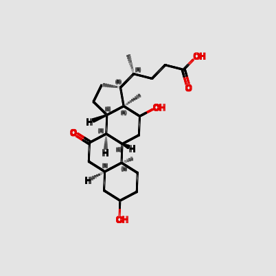 C[C@H](CCC(=O)O)[C@H]1CC[C@H]2[C@@H]3C(=O)C[C@@H]4CC(O)CC[C@]4(C)[C@H]3CC(O)[C@]12C